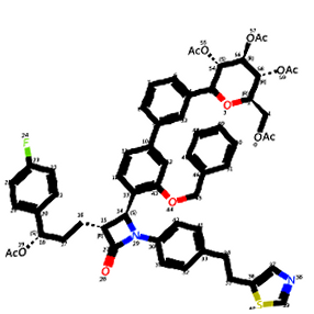 CC(=O)OC[C@H]1OC(c2cccc(-c3ccc([C@@H]4[C@@H](CC[C@H](OC(C)=O)c5ccc(F)cc5)C(=O)N4c4ccc(CCc5cncs5)cc4)c(OCc4ccccc4)c3)c2)[C@H](OC(C)=O)[C@@H](OC(C)=O)[C@@H]1OC(C)=O